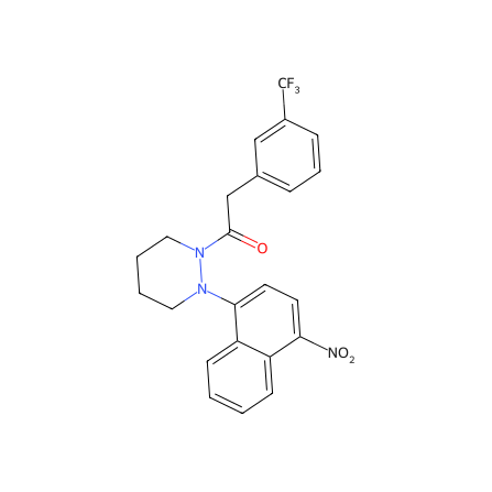 O=C(Cc1cccc(C(F)(F)F)c1)N1CCCCN1c1ccc([N+](=O)[O-])c2ccccc12